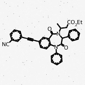 CCOC(=O)CC(C)N1C(=O)c2cc(C#Cc3cccc(C#N)c3)ccc2N(c2ccccc2)C(=O)C1c1ccccc1